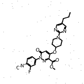 [C-]#[N+]c1ccc(-n2nc(C(=O)OC)c(OC3CCN(c4ncc(CCC)cn4)CC3)cc2=O)cc1F